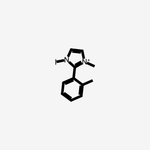 Cc1ccccc1-c1n(I)cc[n+]1C